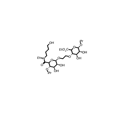 CCOC(=O)C1O[C@@H](OC(C)C)[C@@H](O)[C@@H](O)[C@@H]1OCCO[C@@H]1OC(C(=O)N(CC)CCCCO)[C@@H](OC(C)C)[C@H](O)[C@@H]1O